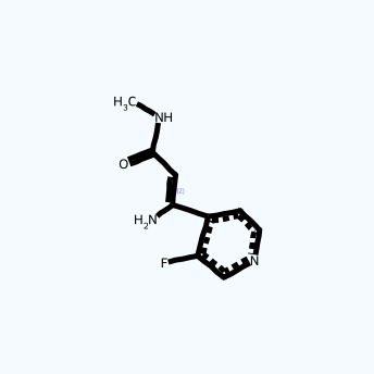 CNC(=O)/C=C(\N)c1ccncc1F